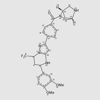 COc1ccc(C2CC(C(F)(F)F)n3nc(-c4ccc(C(=O)N5C[C@@H]6C[C@H]5CN6)cc4)cc3N2)cc1OC